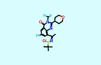 C/C(=N/[S@+]([O-])C(C)(C)C)c1cc(F)cc2c(=O)n(C(F)F)c(C3CCOCC3)nc12